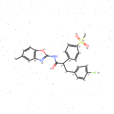 Cc1ccc2oc(NC(=O)C(Cc3ccc(F)cc3)c3ccc(S(C)(=O)=O)cc3)nc2c1